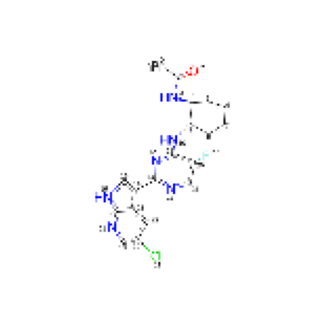 CCCC(=O)N[C@H]1CCCC[C@@H]1Nc1nc(-c2c[nH]c3ncc(Cl)cc23)ncc1F